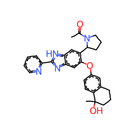 CC(=O)N1CCCC1c1cc2[nH]c(-c3ccccn3)nc2cc1Oc1ccc2c(c1)CCCC2(C)O